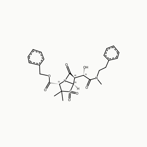 CN(CCc1ccccc1)C(=O)[C@@H](O)[C@@H]1C(=O)N2[C@@H](C(=O)OCc3ccccc3)C(C)(C)S(=O)(=O)[C@H]12